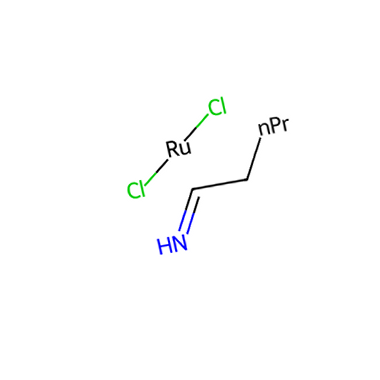 CCCCC=N.[Cl][Ru][Cl]